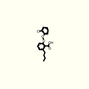 CCCCc1cccc(OOc2ccccc2Cl)c1C(=O)O